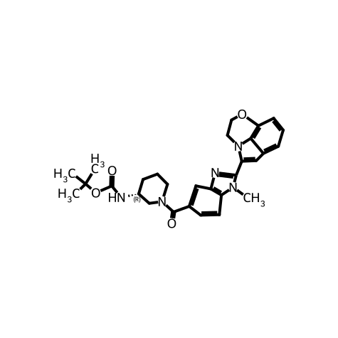 Cn1c(-c2cc3cccc4c3n2CCO4)nc2cc(C(=O)N3CCC[C@@H](NC(=O)OC(C)(C)C)C3)ccc21